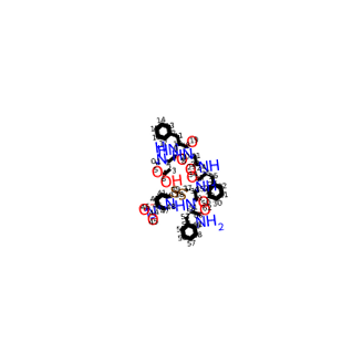 CN[C@@H](CC(=O)O)C(=O)NC(Cc1ccccc1)C(=O)NCC(=O)N[C@@H](Cc1ccccc1)C(=O)N[C@@H](CSSc1ccc([N+](=O)[O-])cn1)C(=O)N[C@@H](Cc1ccccc1)C(N)=O